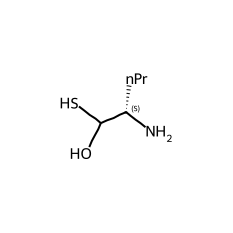 CCC[C@H](N)C(O)S